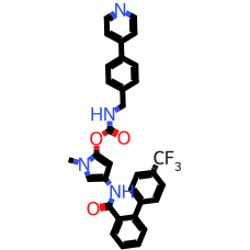 Cn1cc(NC(=O)c2ccccc2-c2ccc(C(F)(F)F)cc2)cc1OC(=O)NCc1ccc(-c2ccncc2)cc1